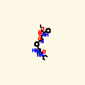 CCOC(=O)C(NC(=O)c1cnc(-c2cccc(-c3cc(C(=O)NC(CC)CC)n[nH]3)c2)o1)c1ccccc1